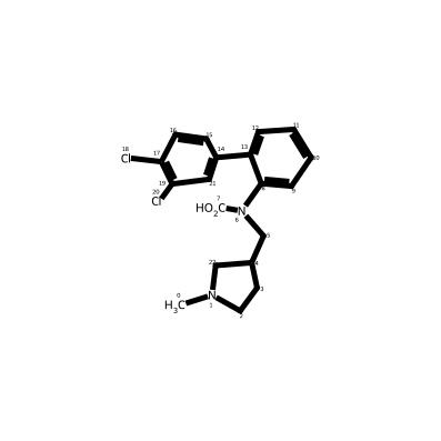 CN1CCC(CN(C(=O)O)c2ccccc2-c2ccc(Cl)c(Cl)c2)C1